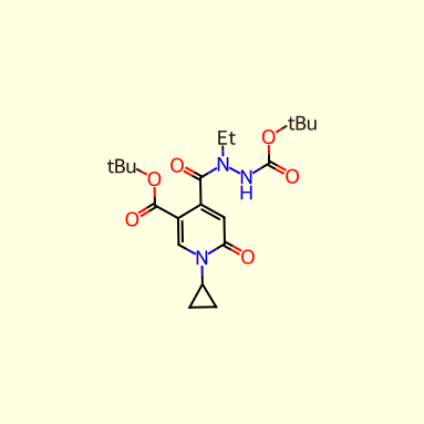 CCN(NC(=O)OC(C)(C)C)C(=O)c1cc(=O)n(C2CC2)cc1C(=O)OC(C)(C)C